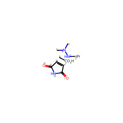 CC(=O)O.CCCNN(C)C.O=C1C=CC(=O)N1